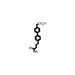 CCCC(CC)CCCc1ccc(-c2ccc(CC(=O)O)cc2)cc1